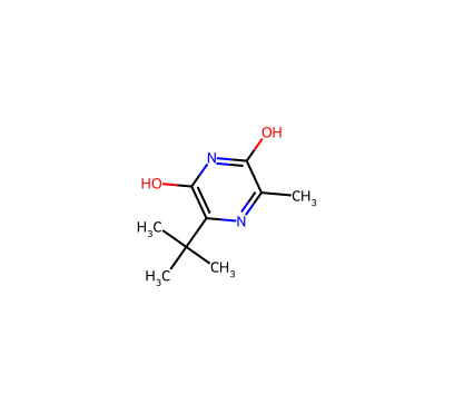 Cc1nc(C(C)(C)C)c(O)nc1O